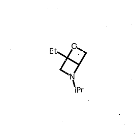 CCC12CN(C(C)C)C1CO2